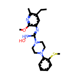 CCc1cc(N=C(NO)N2CCN(c3ccccc3SC)CC2)c(OC)nc1C